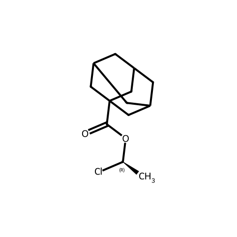 C[C@@H](Cl)OC(=O)C12CC3CC(CC(C3)C1)C2